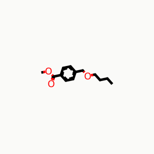 CCCCOCc1ccc(C(=O)OC)cc1